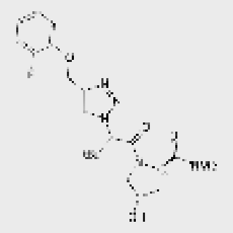 CNC(=O)[C@H]1CC(O)CN1C(=O)C(n1cc(COc2ccccc2F)nn1)C(C)(C)C